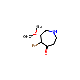 CC(C)(C)OC=O.O=C1CCNCCC1Br